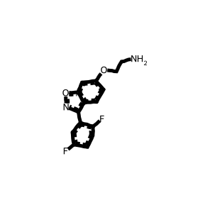 NCCOc1ccc2c(-c3cc(F)ccc3F)noc2c1